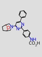 O=C(O)Nc1ccc(-c2nc(-c3ccccc3)cc(N3CC4CCC(C3)O4)n2)cc1